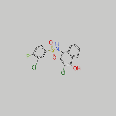 O=S(=O)(Nc1cc(Cl)c(O)c2ccccc12)c1ccc(F)c(Cl)c1